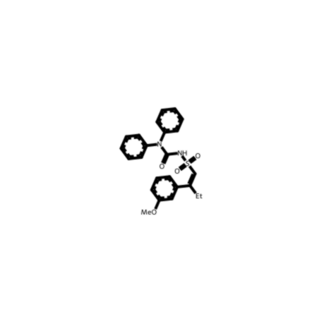 CCC(=CS(=O)(=O)NC(=O)N(c1ccccc1)c1ccccc1)c1cccc(OC)c1